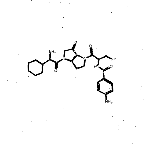 CC(C)CC(NC(=O)c1ccc(N)cc1)C(=O)N1CCC2C1C(=O)CN2C(=O)C(N)C1CCCCC1